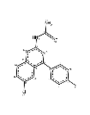 Cc1ccc(-c2nc(NC(=N)N)nc3ccc(Cl)cc23)cc1